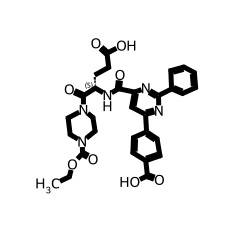 CCOC(=O)N1CCN(C(=O)[C@H](CCC(=O)O)NC(=O)c2cc(-c3ccc(C(=O)O)cc3)nc(-c3ccccc3)n2)CC1